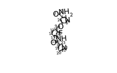 NC(=O)c1cncc(OCc2cccc(NC(=O)c3cccnc3)c2F)c1